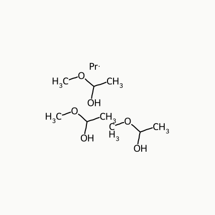 COC(C)O.COC(C)O.COC(C)O.[Pr]